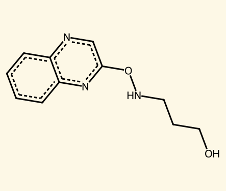 OCCCNOc1cnc2ccccc2n1